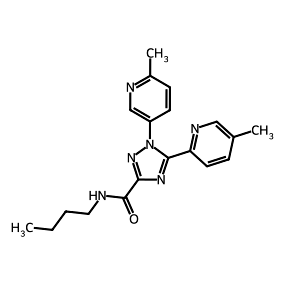 CCCCNC(=O)c1nc(-c2ccc(C)cn2)n(-c2ccc(C)nc2)n1